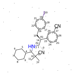 C[C@H](NC(C1CCCCC1)C(C)(C)C#N)[C@@H](Cc1ccc(I)cc1)c1cccc(C#N)c1